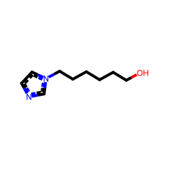 OCCCCCCn1ccnc1